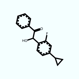 O=C(c1ccccc1)C(O)c1ccc(C2CC2)cc1F